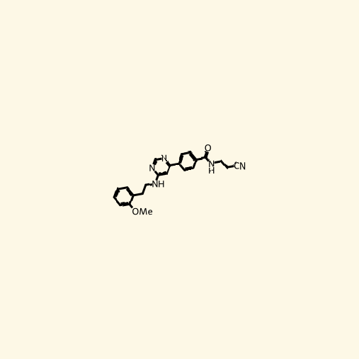 COc1ccccc1CCNc1cc(-c2ccc(C(=O)NCCC#N)cc2)ncn1